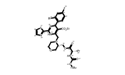 CCOC(=O)C1=C(CN2CCOC[C@H]2COC(=O)[C@@H](NC(=O)OC(C)(C)C)C(C)C)NC(c2nccs2)=NC1c1ccc(F)cc1Br